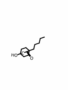 CCCCCC12CCC(O)(CC1)CC2=O